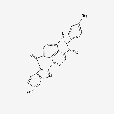 O=c1c2ccc3c4c(ccc(c24)c2nc4cc(S)ccc4n12)c(=O)n1c2ccc(S)cc2nc31